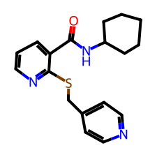 O=C(NC1CCCCC1)c1cccnc1SCc1ccncc1